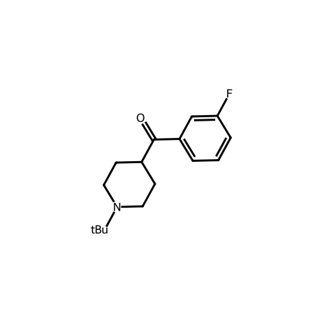 CC(C)(C)N1CCC(C(=O)c2cccc(F)c2)CC1